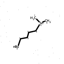 CCCCCCC[CH2][Sn]([CH3])[CH3]